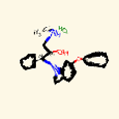 CNC[C@@H](O)[C@H](c1ccccc1)n1ccc2ccc(Oc3ccccc3)cc21.Cl